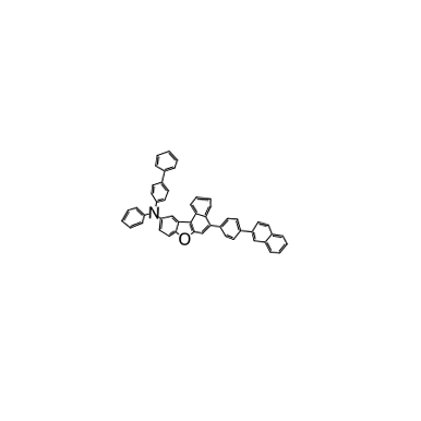 c1ccc(-c2ccc(N(c3ccccc3)c3ccc4oc5cc(-c6ccc(-c7ccc8ccccc8c7)cc6)c6ccccc6c5c4c3)cc2)cc1